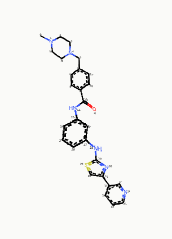 CN1CCN(Cc2ccc(C(=O)Nc3cccc(Nc4nc(-c5cccnc5)cs4)c3)cc2)CC1